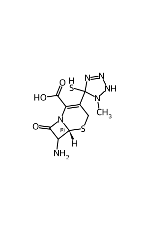 CN1NN=NC1(S)C1=C(C(=O)O)N2C(=O)C(N)[C@H]2SC1